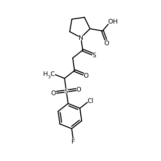 CC(C(=O)CC(=S)N1CCCC1C(=O)O)S(=O)(=O)c1ccc(F)cc1Cl